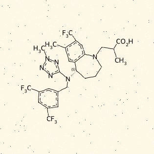 Cc1cc2c(cc1C(F)(F)F)N(CC(C)C(=O)O)CCC[C@@H]2N(Cc1cc(C(F)(F)F)cc(C(F)(F)F)c1)c1nnn(C)n1